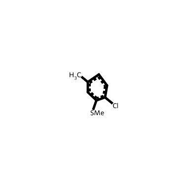 CSc1cc(C)ccc1Cl